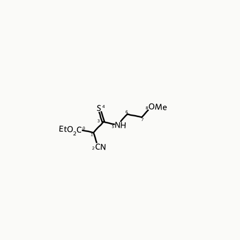 CCOC(=O)C(C#N)C(=S)NCCOC